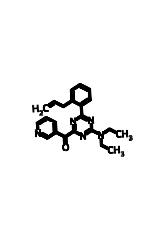 C=CCc1ccccc1-c1nc(C(=O)c2cccnc2)nc(N(CC)CC)n1